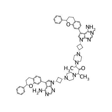 CC(C(=O)C(C)N1CCN([C@H]2C[C@@H](n3cc(-c4ccc5c(c4)OC(c4ccccc4)CC5)c4c(N)ncnc43)C2)CC1)N1CCN([C@H]2C[C@@H](n3cc(-c4ccc5c(c4)OC(c4ccccc4)CC5)c4c(N)ncnc43)C2)CC1